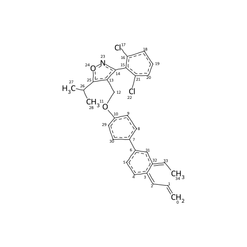 C=C/C=c1/ccc(-c2ccc(OCc3c(-c4c(Cl)cccc4Cl)noc3C(C)C)cc2)c/c1=C/C